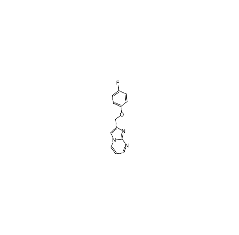 Fc1ccc(OCc2cn3cccnc3n2)cc1